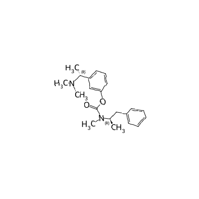 C[C@H](c1cccc(OC(=O)N(C)[C@H](C)Cc2ccccc2)c1)N(C)C